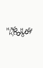 CC1(c2cccc(NC(=O)c3ccc(C(F)(F)F)nc3)c2)CCSC(N)=N1